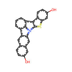 Oc1ccc2cc3c4cccc5c6c7ccc(O)cc7sc6n(c3cc2c1)c45